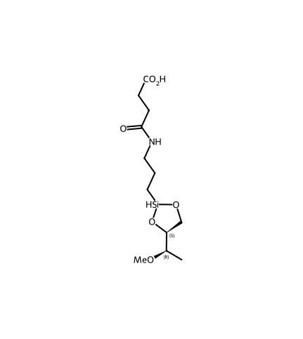 CO[C@H](C)[C@@H]1CO[SiH](CCCNC(=O)CCC(=O)O)O1